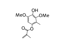 C=C(C)C(=O)Oc1cc(OC)c(O)c(OC)c1C